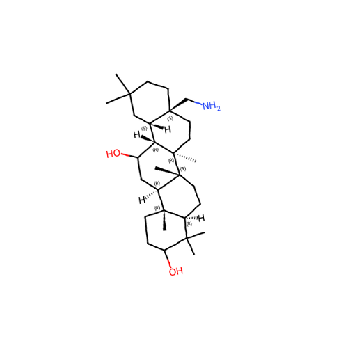 CC1(C)CC[C@]2(CN)CC[C@]3(C)[C@H](C(O)C[C@@H]4[C@@]5(C)CCC(O)C(C)(C)[C@@H]5CC[C@]43C)[C@@H]2C1